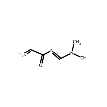 C=CC(=O)/N=C/N(C)C